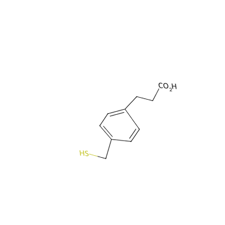 O=C(O)CCc1ccc(CS)cc1